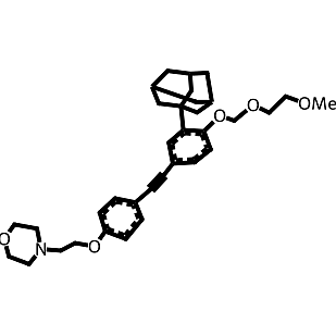 COCCOCOc1ccc(C#Cc2ccc(OCCN3CCOCC3)cc2)cc1C12CC3CC(CC(C3)C1)C2